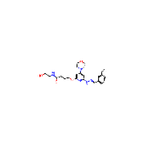 Cc1cccc(C=NNc2cc(N3CCOCC3)cc(OCCCC(=O)NCCO)n2)c1